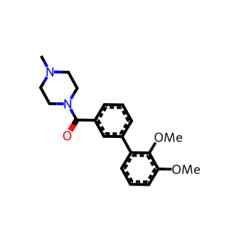 COc1cccc(-c2cccc(C(=O)N3CCN(C)CC3)c2)c1OC